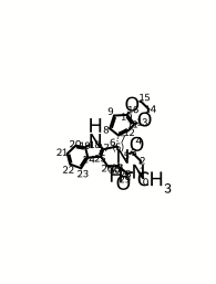 CN1CC(=O)N2[C@@H](c3ccc4c(c3)OCCO4)c3[nH]c4ccccc4c3C[C@H]2C1=O